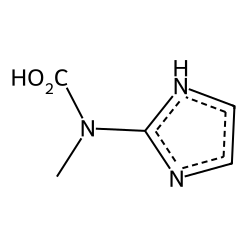 CN(C(=O)O)c1ncc[nH]1